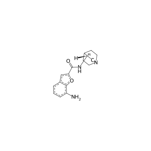 Nc1cccc2cc(C(=O)N[C@H]3CN4CCC3CC4)oc12